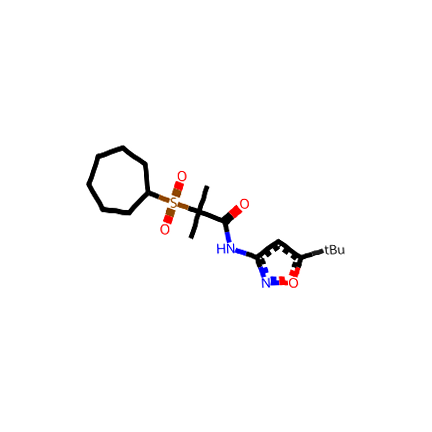 CC(C)(C)c1cc(NC(=O)C(C)(C)S(=O)(=O)C2CCCCCC2)no1